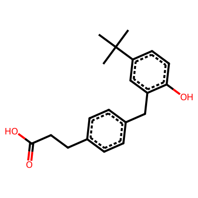 CC(C)(C)c1ccc(O)c(Cc2ccc(CCC(=O)O)cc2)c1